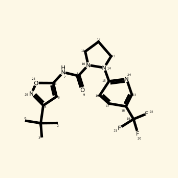 CC(C)(C)c1cc(NC(=O)N2CCCN2c2ccc(C(F)(F)F)cn2)on1